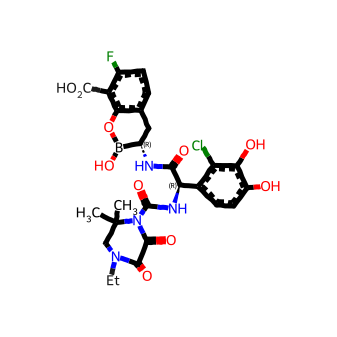 CCN1CC(C)(C)N(C(=O)N[C@@H](C(=O)N[C@H]2Cc3ccc(F)c(C(=O)O)c3OB2O)c2ccc(O)c(O)c2Cl)C(=O)C1=O